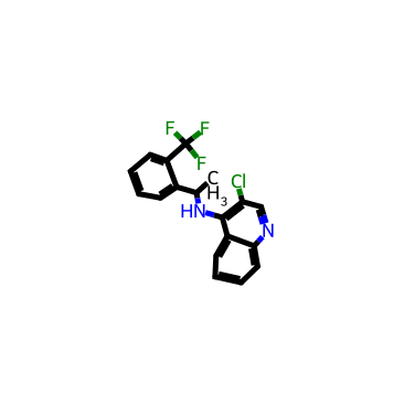 CC(Nc1c(Cl)cnc2ccccc12)c1ccccc1C(F)(F)F